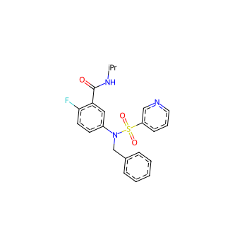 CC(C)NC(=O)c1cc(N(Cc2ccccc2)S(=O)(=O)c2cccnc2)ccc1F